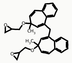 CC1(OCC2CO2)C=Cc2ccccc2C(CC2=CC(C)(OCC3CO3)C=Cc3ccccc32)=C1